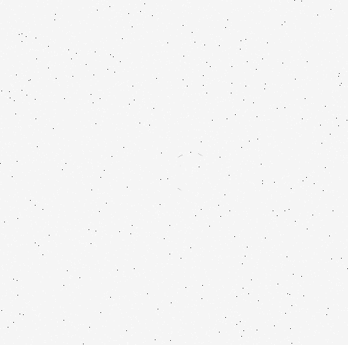 CC(=O)OCC(COC(=O)CCCCCCCC1OC1C)OC(=O)CCCCCCCC1OC1C